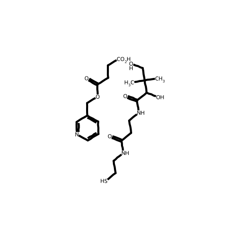 CC(C)(CO)C(O)C(=O)NCCC(=O)NCCS.O=C(O)CCC(=O)OCc1cccnc1